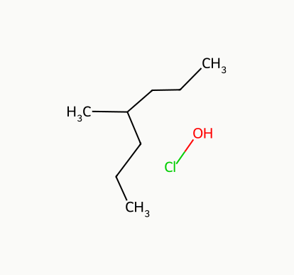 CCCC(C)CCC.OCl